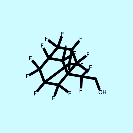 OCC(F)(F)C12C(F)(F)C3(F)C(F)(F)C(F)(C(F)(F)C(F)(C3(F)F)C1(F)F)C2(F)F